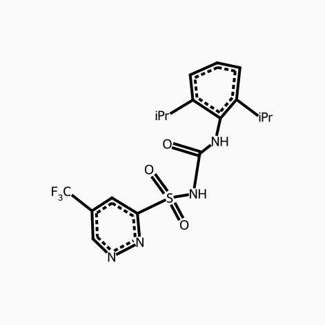 CC(C)c1cccc(C(C)C)c1NC(=O)NS(=O)(=O)c1cc(C(F)(F)F)cnn1